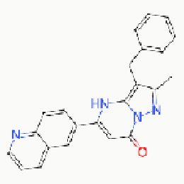 Cc1nn2c(=O)cc(-c3ccc4ncccc4c3)[nH]c2c1Cc1ccccc1